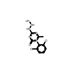 CCCNNc1nc(C)n(-c2c(Cl)cccc2Cl)c(=O)n1